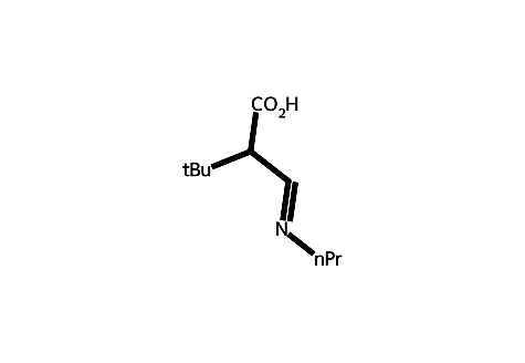 CCCN=CC(C(=O)O)C(C)(C)C